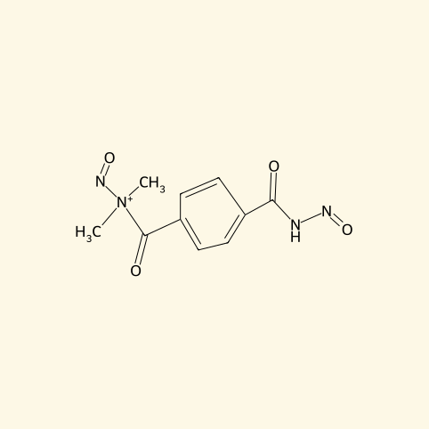 C[N+](C)(N=O)C(=O)c1ccc(C(=O)NN=O)cc1